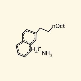 C.CCCCCCCCCCc1ccc2ccccc2c1.N